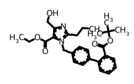 CCCc1nc(CO)c(C(=O)OCC)n1Cc1ccc(-c2ccccc2C(=O)OC(C)(C)C)cc1